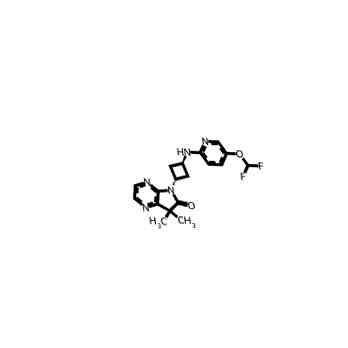 CC1(C)C(=O)N([C@H]2C[C@H](Nc3ccc(OC(F)F)cn3)C2)c2nccnc21